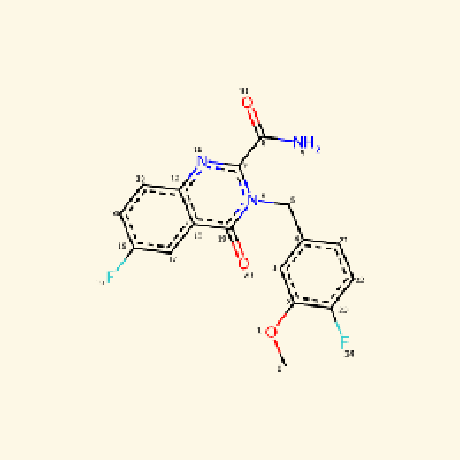 COc1cc(Cn2c(C(N)=O)nc3ccc(F)cc3c2=O)ccc1F